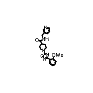 COc1ccccc1-c1noc(N2CCC(C(=O)NCc3cccnc3)CC2)n1